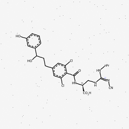 CCCN/C(=N/C#N)NC[C@H](NC(=O)c1c(Cl)cc(CCC(O)c2cccc(O)c2)cc1Cl)C(=O)O